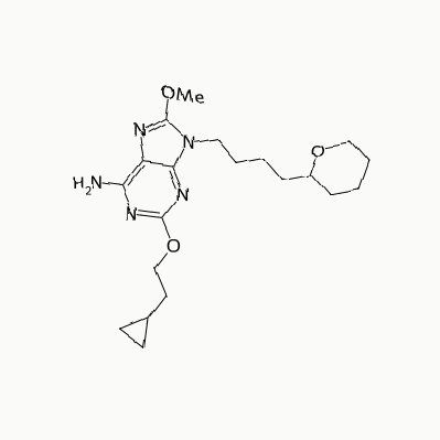 COc1nc2c(N)nc(OCCC3CC3)nc2n1CCCCC1CCCCO1